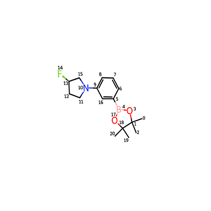 CC1(C)OB(c2cccc(N3CC[C@@H](F)C3)c2)OC1(C)C